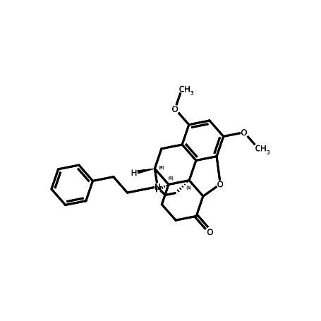 COc1cc(OC)c2c3c1C[C@@H]1[C@@H]4CCC(=O)C(O2)[C@]34CCN1CCc1ccccc1